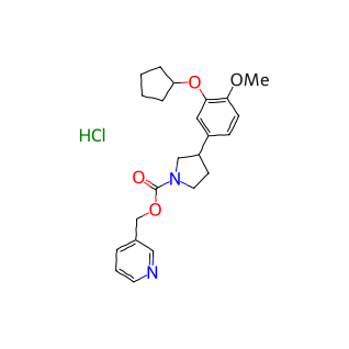 COc1ccc(C2CCN(C(=O)OCc3cccnc3)C2)cc1OC1CCCC1.Cl